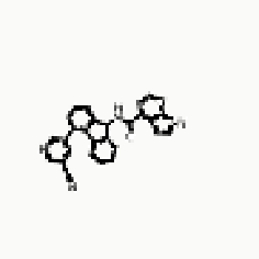 N#Cc1cncc(-c2cccc3c2-c2ccccc2C3NC(=O)c2ccnc3[nH]ccc23)c1